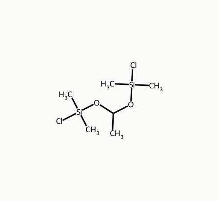 CC(O[Si](C)(C)Cl)O[Si](C)(C)Cl